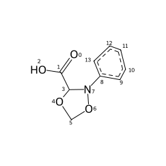 O=C(O)C1OCON1c1ccccc1